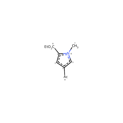 CCOC(=O)c1cc(C(C)=O)cn1C